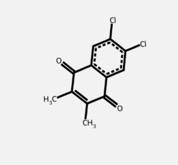 CC1=C(C)C(=O)c2cc(Cl)c(Cl)cc2C1=O